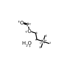 C[N+](C)(C)CCOP=O.O